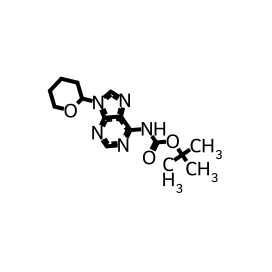 CC(C)(C)OC(=O)Nc1ncnc2c1ncn2C1CCCCO1